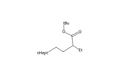 CCCCCCCCCC(CC)C(=O)OC(C)(C)C